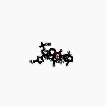 CC(C)(C=O)O/N=C(\C(=O)N[C@@H]1C(=O)N2C(C(=O)O)=C(C[N+]3(C)[C@@H]4CC[C@H]3C[C@@H](NC(=O)c3ccc(O)c(O)c3F)C4)CS[C@H]12)c1nsc(N)n1